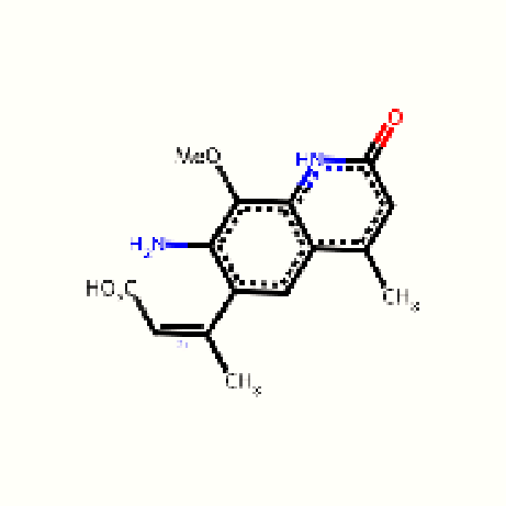 COc1c(N)c(/C(C)=C\C(=O)O)cc2c(C)cc(=O)[nH]c12